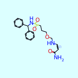 NC(=O)/C=C\NCOCCCS(=O)(=O)NC(c1ccccc1)c1ccccc1